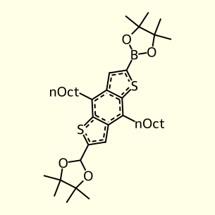 CCCCCCCCc1c2cc(C3OC(C)(C)C(C)(C)O3)sc2c(CCCCCCCC)c2cc(B3OC(C)(C)C(C)(C)O3)sc12